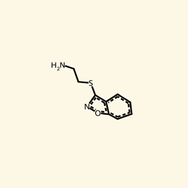 NCCSc1noc2ccccc12